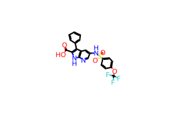 O=C(O)c1[nH]c2ncc(NS(=O)(=O)c3ccc(OC(F)(F)F)cc3)cc2c1-c1ccccc1